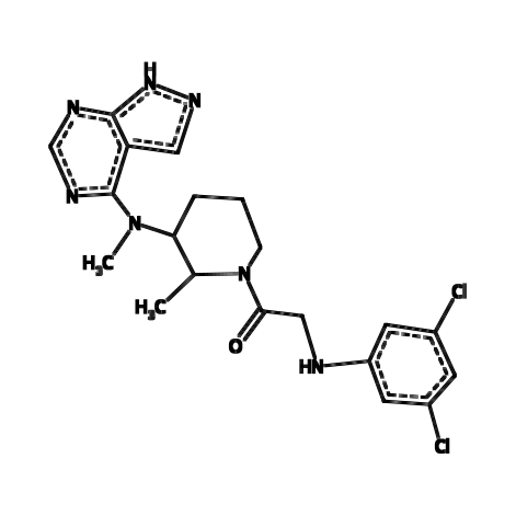 CC1C(N(C)c2ncnc3[nH]ncc23)CCCN1C(=O)CNc1cc(Cl)cc(Cl)c1